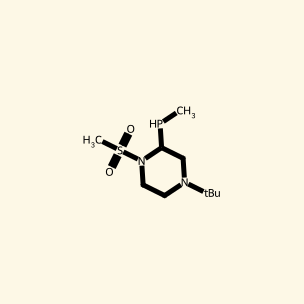 CPC1CN(C(C)(C)C)CCN1S(C)(=O)=O